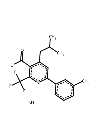 Cc1cccc(-c2cc(CC(C)C)c(C(=O)O)c(C(F)(F)F)n2)c1.[KH]